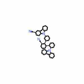 N#Cc1ccc2c(c1)c1ccccc1n2-c1cccc(-c2c(C#N)cccc2-c2ccccc2-n2c3ccccc3c3ccccc32)c1